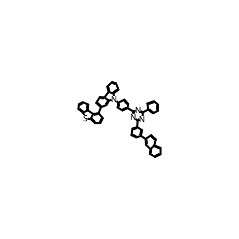 c1ccc(-c2nc(-c3ccc(-n4c5ccccc5c5ccc(-c6cccc7sc8ccccc8c67)cc54)cc3)nc(-c3cccc(-c4ccc5ccccc5c4)c3)n2)cc1